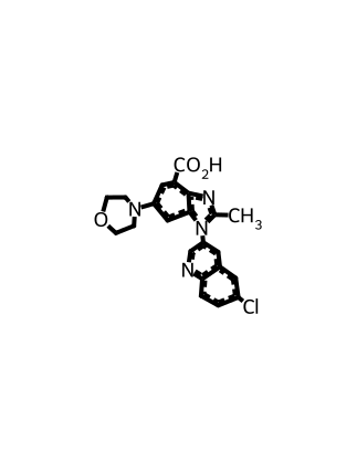 Cc1nc2c(C(=O)O)cc(N3CCOCC3)cc2n1-c1cnc2ccc(Cl)cc2c1